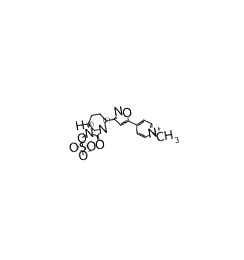 C[n+]1ccc(-c2cc([C@@H]3CC[C@@H]4CN3C(=O)N4OS(=O)(=O)[O-])no2)cc1